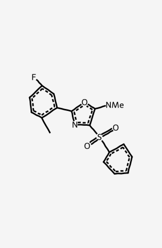 CNc1oc(-c2cc(F)ccc2C)nc1S(=O)(=O)c1ccccc1